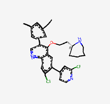 Cc1cc(C)cc(-c2cnc3cc(Cl)c(-c4ccnc(Cl)c4)cc3c2OCC[C@H]2CCCCN2)c1